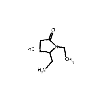 CCN1C(=O)CCC1CN.Cl